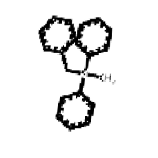 C[Si](Cc1ccccc1)(c1ccccc1)c1ccccc1